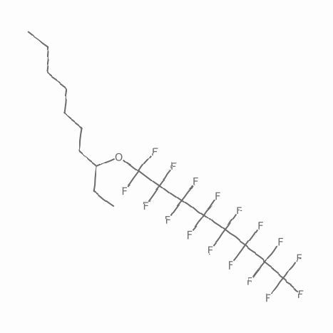 CCCCCCCC(CC)OC(F)(F)C(F)(F)C(F)(F)C(F)(F)C(F)(F)C(F)(F)C(F)(F)C(F)(F)F